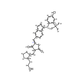 O=C1S/C(=C\c2ccc3c(cnn3Cc3ccc(Cl)cc3C(F)(F)F)c2)C(=O)N1C[C@@H]1CCCN1CCO